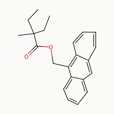 CCC(C)(CC)C(=O)OCc1c2ccccc2cc2ccccc12